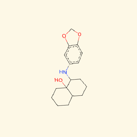 OC12CCCCC1CCCC2Nc1ccc2c(c1)OCO2